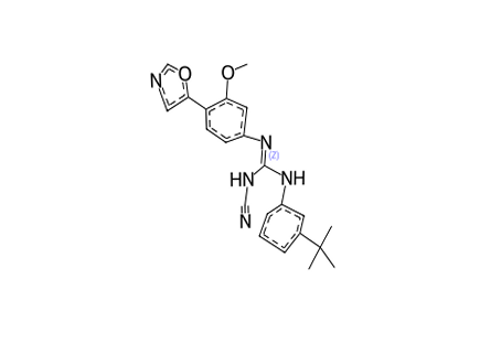 COc1cc(/N=C(\NC#N)Nc2cccc(C(C)(C)C)c2)ccc1-c1cnco1